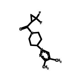 Cc1cn(C2CCN(C(=O)C3CC3(F)F)CC2)nc1C